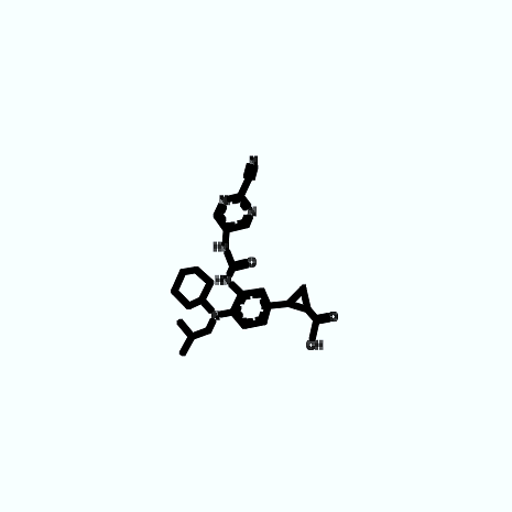 CC(C)CN(c1ccc(C2CC2C(=O)O)cc1NC(=O)Nc1cnc(C#N)nc1)C1CCCCC1